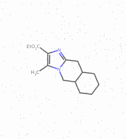 CCOC(=O)c1nc2n(c1C)CC1CCCCC1C2